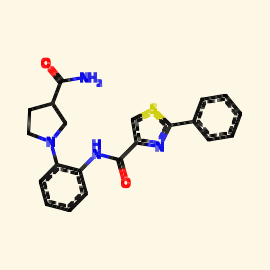 NC(=O)C1CCN(c2ccccc2NC(=O)c2csc(-c3ccccc3)n2)C1